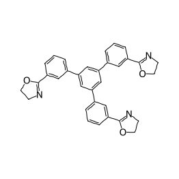 c1cc(C2=NCCO2)cc(-c2cc(-c3cccc(C4=NCCO4)c3)cc(-c3cccc(C4=NCCO4)c3)c2)c1